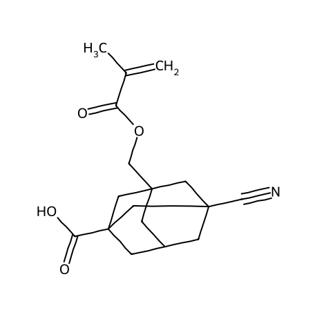 C=C(C)C(=O)OCC12CC3CC(C#N)(C1)CC(C(=O)O)(C3)C2